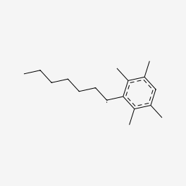 CCCCCC[CH]c1c(C)c(C)cc(C)c1C